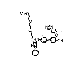 COCCOCCOCCCOc1nn(C2CCCCC2)cc1Nc1ncc(-c2ccc(C#N)c(O[C@@H](C)Cn3cncn3)c2)cn1